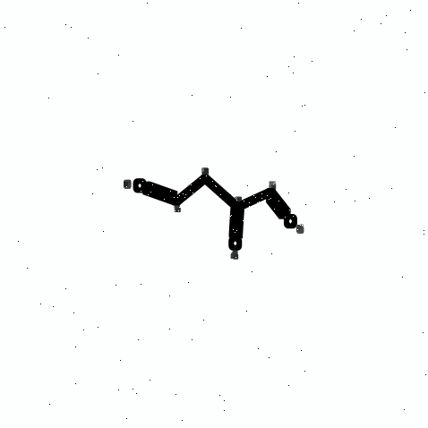 O=CCC(=O)C=O